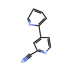 N#Cc1cc(-c2ccccn2)ccn1